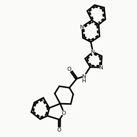 O=C1OC2(CCC(C(=O)Nc3cn(-c4cnc5ccccc5c4)cn3)CC2)c2ccccc21